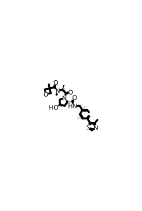 C=C(/C=C\C(=C/C)CNC(=O)[C@@H]1C[C@@H](O)CN1C(=O)[C@H](C)N(C)C(=O)C1(C)COC1)c1scnc1C